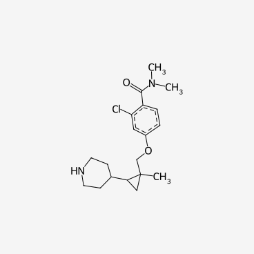 CN(C)C(=O)c1ccc(OCC2(C)CC2C2CCNCC2)cc1Cl